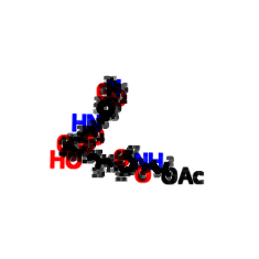 CC(=O)OC(C)C=CC(=O)N[C@@H]1C[C@H](C)[C@H](C/C=C(C)/C=C/[C@H]2O[C@H](CC(=O)NCc3ccc(S(=O)(=O)N(C)C)cc3)C[C@@]3(CO3)[C@@H]2O)O[C@@H]1C